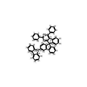 c1ccc(-c2nc(-c3ccccc3)c3c(n2)C(c2ccccc2)(c2ccc(-n4c5ccccc5c5ccccc54)cc2)c2ccccc2-3)cc1